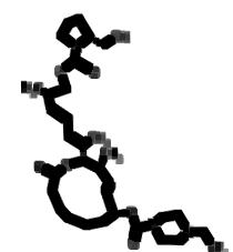 C/C(=C\C=C\[C@@H](C)COC(=O)N1CCC[C@@H]1CO)[C@H]1OC(=O)CCCCC[C@H](OC(=O)N2CCN(CC(F)(F)F)CC2)/C=C/[C@@H]1C